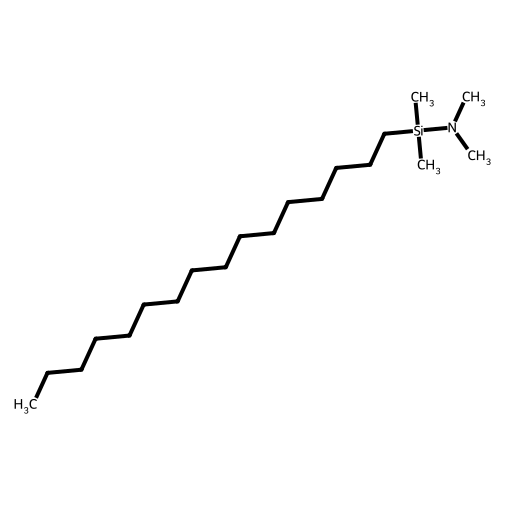 CCCCCCCCCCCCCCCC[Si](C)(C)N(C)C